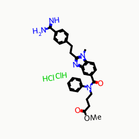 COC(=O)CCCN(C(=O)c1ccc2c(c1)nc(CCc1ccc(C(=N)N)cc1)n2C)c1ccccc1.Cl.Cl